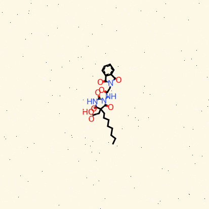 CCCCCCCCC1(CC(=O)O)C(=O)NC(=O)N(NC(=O)CN2C(=O)c3ccccc3C2=O)C1=O